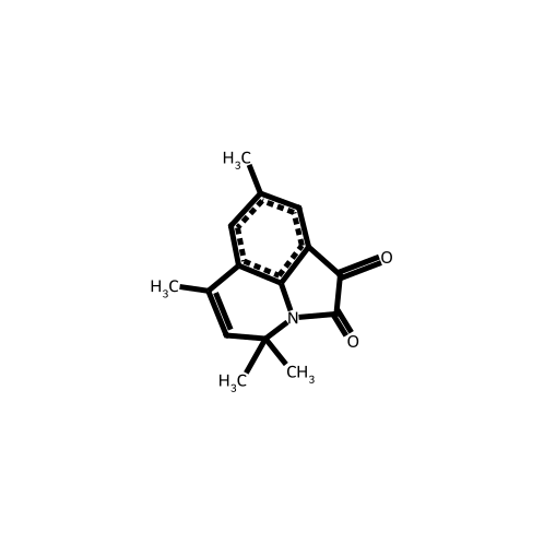 CC1=CC(C)(C)N2C(=O)C(=O)c3cc(C)cc1c32